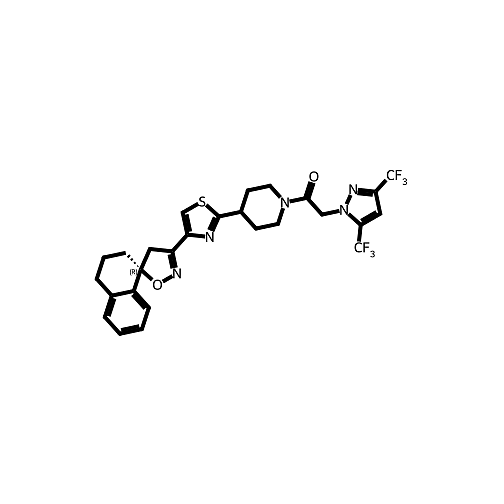 O=C(Cn1nc(C(F)(F)F)cc1C(F)(F)F)N1CCC(c2nc(C3=NO[C@]4(CCCc5ccccc54)C3)cs2)CC1